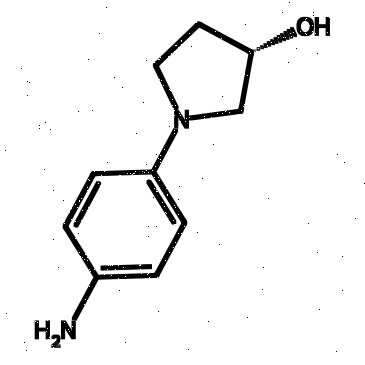 Nc1ccc(N2CC[C@H](O)C2)cc1